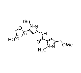 COCc1cc(C(=O)Nc2cc([C@H]3C[C@@H](O)CO3)n(C(C)(C)C)n2)n(C)n1